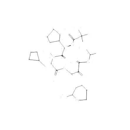 CC(C)NC(=O)C(=O)[C@H](C[C@@H]1CCCNC1O)NC(=O)[C@H](CC1CCC1)N(C)C(=O)[C@H](NC(=O)C(C)(C)C)C1CCCC1